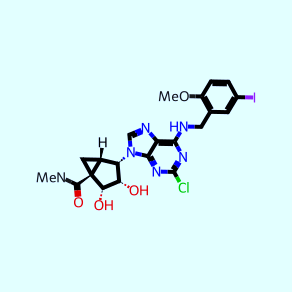 CNC(=O)[C@@]12C[C@@H]1[C@H](n1cnc3c(NCc4cc(I)ccc4OC)nc(Cl)nc31)[C@H](O)[C@@H]2O